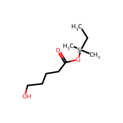 CC[Si](C)(C)OC(=O)CCCCO